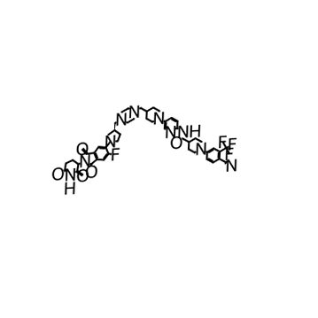 N#Cc1ccc(N2CCC(C(=O)Nc3ccc(N4CCC(CN5CCN(C[C@H]6CCN(c7cc8c(cc7F)C(=O)N(C7CCC(=O)NC7=O)C8=O)C6)CC5)CC4)cn3)CC2)cc1C(F)(F)F